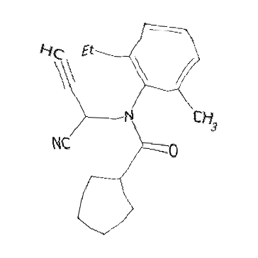 C#CC(C#N)N(C(=O)C1CCCC1)c1c(C)cccc1CC